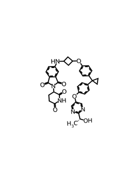 C[C@@H](O)c1ncc(Oc2ccc(C3(c4ccc(OC5CC(Nc6ccc7c(c6)C(=O)N(C6CCC(=O)NC6=O)C7=O)C5)cc4)CC3)cc2)cn1